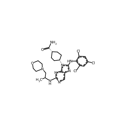 CC(CN1CCOCC1)Nc1ncc2nc(Nc3c(Cl)cc(Cl)cc3Cl)n([C@H]3CC[C@@H](C(N)=O)CC3)c2n1